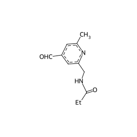 CCC(=O)NCc1cc(C=O)cc(C)n1